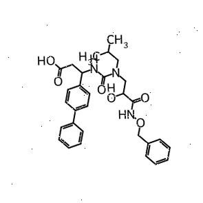 CC(C)CN(CC(O)C(=O)NOCc1ccccc1)C(=O)NC(CC(=O)O)c1ccc(-c2ccccc2)cc1